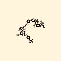 CCCS(=O)(=O)Nc1ccc(F)c(C(=O)c2c[nH]c3ncc(-c4cccc(OCCCC(=O)N[C@H](C(=O)N5C[C@H](O)C[C@H]5C(=O)NCc5ccc(-c6scnc6C)cc5)C(C)(C)C)c4)cc23)c1F